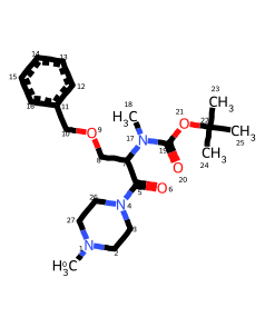 CN1CCN(C(=O)C(COCc2ccccc2)N(C)C(=O)OC(C)(C)C)CC1